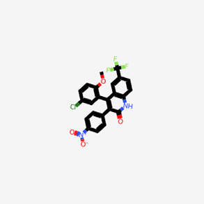 COc1ccc(Cl)cc1-c1c(-c2ccc([N+](=O)[O-])cc2)c(=O)[nH]c2ccc(C(F)(F)F)cc12